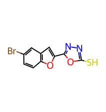 Sc1nnc(-c2cc3cc(Br)ccc3o2)o1